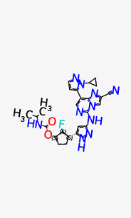 CC(C)NC(=O)O[C@H]1CC[C@@H](c2cc(Nc3ncc(-c4ccnn4C4CC4)c4nc(C#N)cn34)n[nH]2)[C@@H]1F